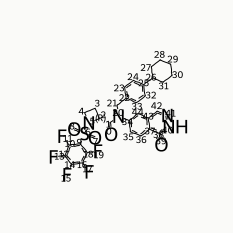 O=C([C@H]1CCN1S(=O)(=O)c1c(F)c(F)c(F)c(F)c1F)N(Cc1ccc(C2CCCCC2)cc1)c1ccc2c(=O)[nH]ncc2c1